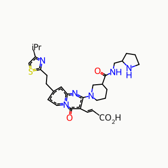 CC(C)c1csc(CCc2ccn3c(=O)c(C=CC(=O)O)c(N4CCCC(C(=O)NCC5CCCN5)C4)nc3c2)n1